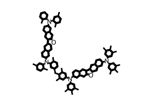 Cc1ccc(C)c(N(c2ccc3cc4c(cc3c2)oc2cc3cc(N(c5cc(C)ccc5C)c5cc(Cc6c(C)cc(N(c7cc(C)c(C)c(C)c7)c7ccc8cc9c(cc8c7)oc7cc8cc(N(c%10cc(C)c(C)c(C)c%10)c%10cc(C)c(C)c(C)c%10)ccc8cc79)cc6C)ccc5C)ccc3cc24)c2ccccc2C)c1